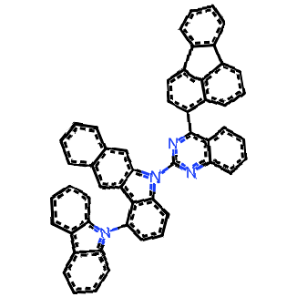 c1ccc2c(c1)-c1cccc3c(-c4nc(-n5c6cc7ccccc7cc6c6c(-n7c8ccccc8c8ccccc87)cccc65)nc5ccccc45)ccc-2c13